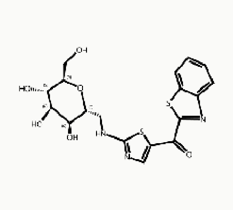 O=C(c1cnc(NC[C@H]2O[C@H](CO)[C@@H](O)[C@H](O)[C@@H]2O)s1)c1nc2ccccc2s1